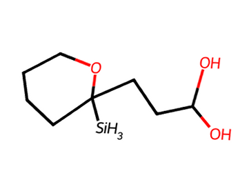 OC(O)CCC1([SiH3])CCCCO1